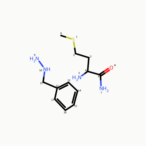 CSCCC(N)C(N)=O.NNCc1ccccc1